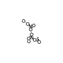 c1ccc(-c2ccc(-n3c4ccccc4c4cc(-c5ccc6c(c5)c5ccc7ccccc7c5n6-c5ccc6c(c5)sc5ccccc56)ccc43)cc2)cc1